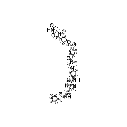 O=C1CC[C@H](N2C(=O)c3ccc(OCC(=O)N4CCC(CC(=O)N5CCN(c6ccc(Nc7ncnc8c7ncn8C7CC(NC(=O)Cc8ccccc8)C7)cc6)CC5)CC4)cc3C2=O)C(=O)N1